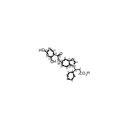 O=C(O)CC(c1ccccc1)n1cnc2cc(NC(=O)c3cnc(O)nc3O)ccc21